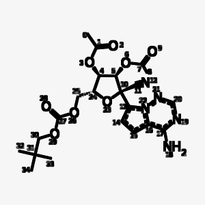 CC(=O)O[C@H]1[C@@H](OC(C)=O)[C@](C#N)(c2ccc3c(N)ncnn23)O[C@@H]1COC(=O)OCC(C)(C)C